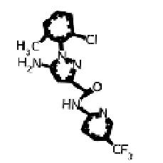 Cc1cccc(Cl)c1-n1nc(C(=O)Nc2ccc(C(F)(F)F)cn2)cc1N